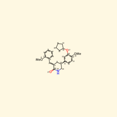 COc1ccccc1/C=C1\C[C@@H](c2ccc(OC)c(OC3CCCC3)c2)CNC1=O